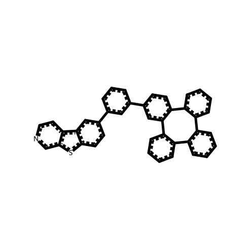 c1cc(-c2ccc3c(c2)-c2ccccc2-c2ccccc2-c2ccccc2-3)cc(-c2ccc3sc4cnccc4c3c2)c1